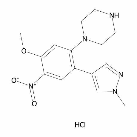 COc1cc(N2CCNCC2)c(-c2cnn(C)c2)cc1[N+](=O)[O-].Cl